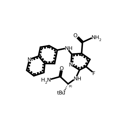 CC(C)(C)[C@@H](Nc1nc(Nc2ccc3ncccc3c2)c(C(N)=O)cc1F)C(N)=O